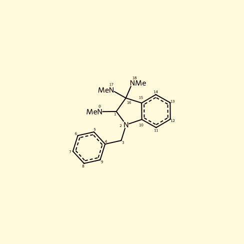 CNC1N(Cc2ccccc2)c2ccccc2C1(NC)NC